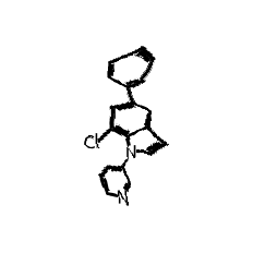 Clc1cc(-c2ccccc2)cc2ccn(-c3cccnc3)c12